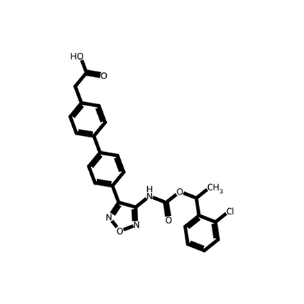 CC(OC(=O)Nc1nonc1-c1ccc(-c2ccc(CC(=O)O)cc2)cc1)c1ccccc1Cl